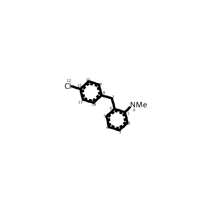 CNc1[c]cccc1Cc1ccc(Cl)cc1